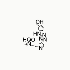 CC(C)(C)N(CCCc1cc(-c2ncnc(Nc3cccc(CO)c3)n2)ccn1)C(=O)O